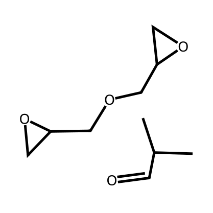 C(OCC1CO1)C1CO1.CC(C)C=O